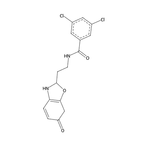 O=C1C=CC2=C(C1)OC(CCNC(=O)c1cc(Cl)cc(Cl)c1)N2